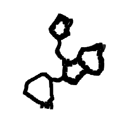 c1cc2cc(C3CCCNC3)n(Cc3ccoc3)c2cn1